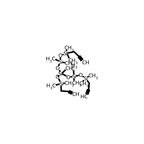 C#CC[Si](C)(C)O[Si](C)(C)O[Si](C)(O[Si](C)(C)CC#C)O[Si](C)(C)O[Si](C)(C)CC#C